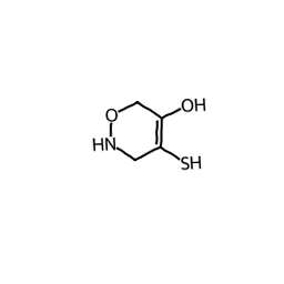 OC1=C(S)CNOC1